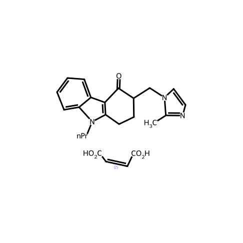 CCCn1c2c(c3ccccc31)C(=O)C(Cn1ccnc1C)CC2.O=C(O)/C=C\C(=O)O